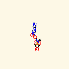 COc1cc(C)c(S(=O)(=O)N(CCOCC(=O)N2CCN(C3CCN(C)CC3)CC2)C2CC2)c(C)c1